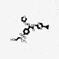 CN(CCO)S(=O)(=O)c1ccc(/C(=N\O[C@@H]2CCOC2)C(=O)Nc2cnc(C3CC3)cn2)cc1